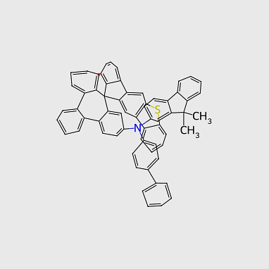 CC1(C)c2ccccc2-c2ccc(N(c3ccc(-c4ccccc4)cc3)c3ccc4c(c3)C3(c5ccccc5-c5ccccc5-4)c4ccccc4-c4cc5sc6ccccc6c5cc43)cc21